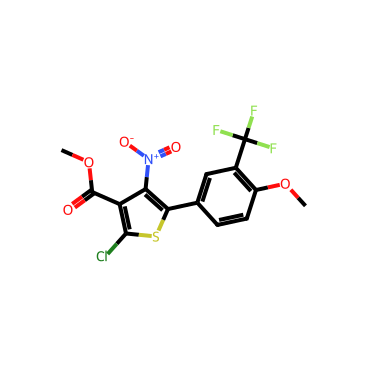 COC(=O)c1c(Cl)sc(-c2ccc(OC)c(C(F)(F)F)c2)c1[N+](=O)[O-]